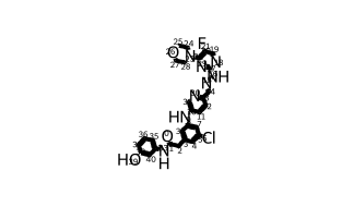 O=C(Cc1cc(Cl)cc(Nc2ccc(/C=N/Nc3ncc(F)c(N4CCOCC4)n3)nc2)c1)Nc1cccc(O)c1